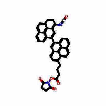 O=C=Nc1ccc2ccc3cccc4c(-c5cc6ccc(CCCC(=O)ON7C(=O)CCC7=O)c7ccc8cccc5c8c67)cc1c2c34